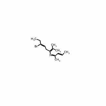 C/C=C/C(C)=N\C(C/C=C(\Br)CC)=C(C)C